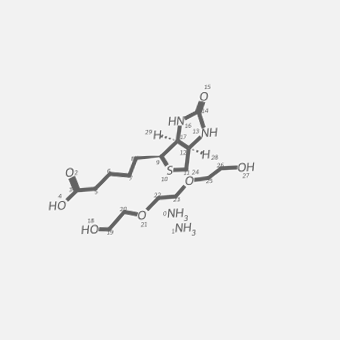 N.N.O=C(O)CCCC[C@@H]1SC[C@@H]2NC(=O)N[C@@H]21.OCCOCCOCCO